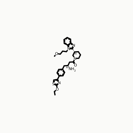 CCOc1nc(-c2ccc(C[C@@H](N)CC(=O)N3CCC[C@@H](c4nc5ccccc5n4CCCOC)C3)cc2)cs1